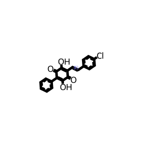 O=C1C(O)=C(c2ccccc2)C(=O)C(O)=C1/C=C/c1ccc(Cl)cc1